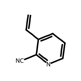 C=Cc1cccnc1C#N